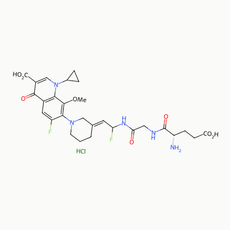 COc1c(N2CCCC(=CC(F)NC(=O)CNC(=O)[C@@H](N)CCC(=O)O)C2)c(F)cc2c(=O)c(C(=O)O)cn(C3CC3)c12.Cl